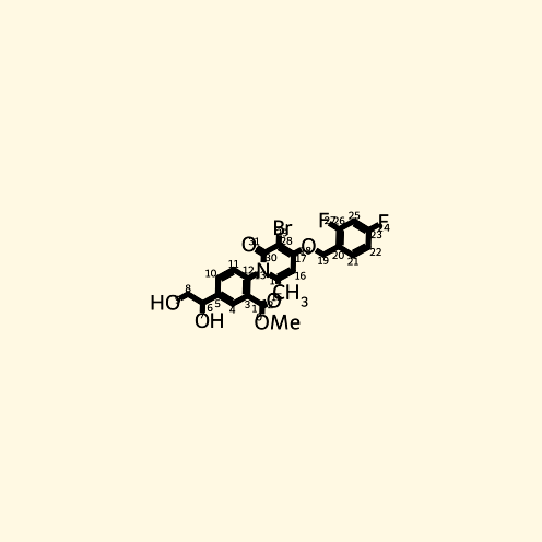 COC(=O)c1cc(C(O)CO)ccc1-n1c(C)cc(OCc2ccc(F)cc2F)c(Br)c1=O